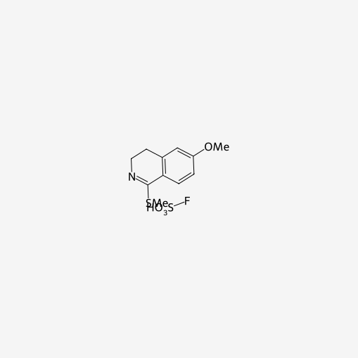 COc1ccc2c(c1)CCN=C2SC.O=S(=O)(O)F